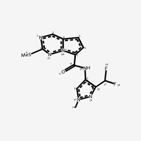 CSc1ncc2ccc(C(=O)Nc3cn(C)nc3C(F)F)n2n1